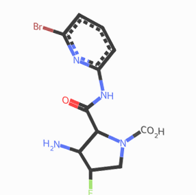 NC1C(F)CN(C(=O)O)C1C(=O)Nc1cccc(Br)n1